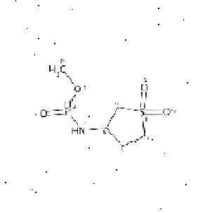 CO[PH](=O)NC1CCS(=O)(=O)C1